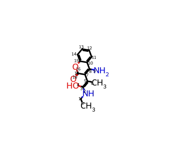 CCN/C(O)=C(\C)c1c(N)c2ccccc2oc1=O